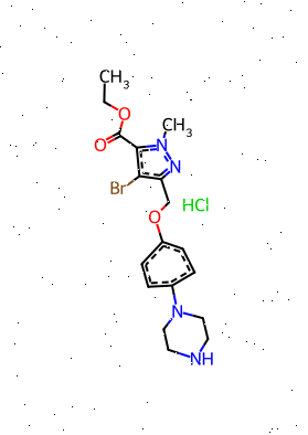 CCOC(=O)c1c(Br)c(COc2ccc(N3CCNCC3)cc2)nn1C.Cl